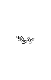 c1ccc(-c2c3ccccc3c(-c3ccc4oc5cc6c(ccc7c8ccccc8sc67)cc5c4c3)c3ccccc23)cc1